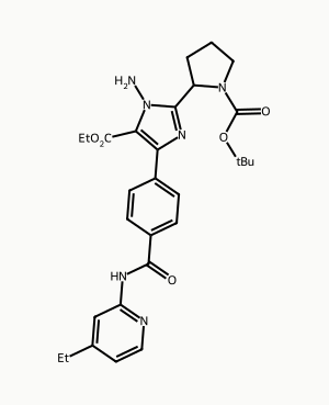 CCOC(=O)c1c(-c2ccc(C(=O)Nc3cc(CC)ccn3)cc2)nc(C2CCCN2C(=O)OC(C)(C)C)n1N